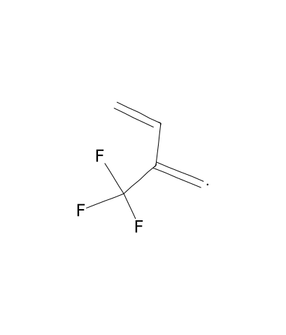 [CH]=C(C=C)C(F)(F)F